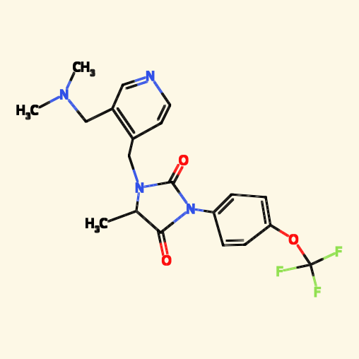 CC1C(=O)N(c2ccc(OC(F)(F)F)cc2)C(=O)N1Cc1ccncc1CN(C)C